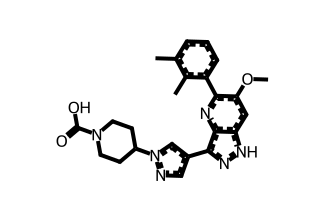 COc1cc2[nH]nc(-c3cnn(C4CCN(C(=O)O)CC4)c3)c2nc1-c1cccc(C)c1C